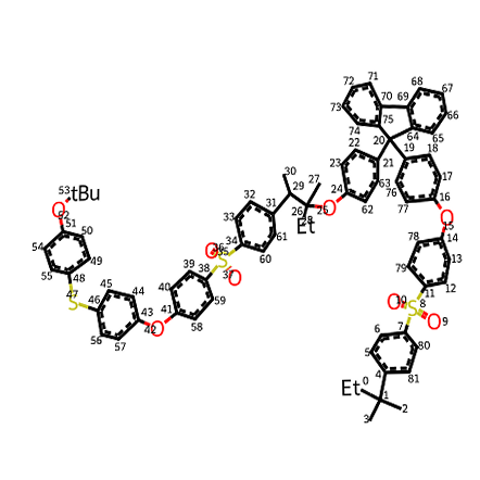 CCC(C)(C)c1ccc(S(=O)(=O)c2ccc(Oc3ccc(C4(c5ccc(OC(C)(CC)C(C)c6ccc(S(=O)(=O)c7ccc(Oc8ccc(Sc9ccc(OC(C)(C)C)cc9)cc8)cc7)cc6)cc5)c5ccccc5-c5ccccc54)cc3)cc2)cc1